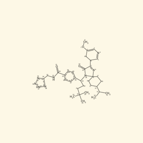 COC1=CN=CC(C2=NC3(CCC(C(C)C)CC3)N(C(CCC(C)(C)C)c3ccc(C(=O)NCc4nn[nH]n4)cc3)C2=O)C1